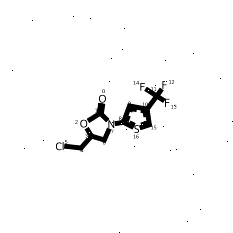 O=C1OC(CCl)CN1c1cc(C(F)(F)F)cs1